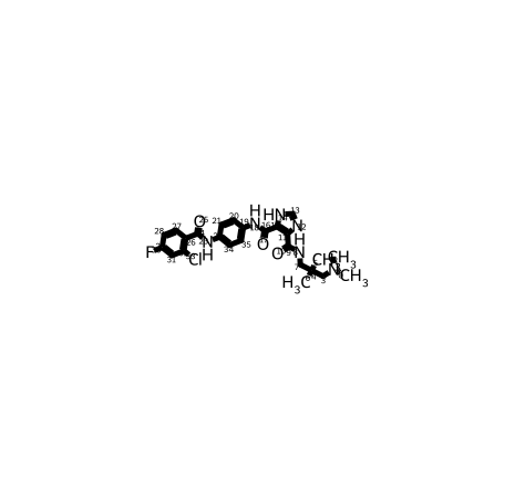 CN(C)CC(C)(C)CNC(=O)c1nc[nH]c1C(=O)Nc1ccc(NC(=O)c2ccc(F)cc2Cl)cc1